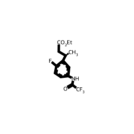 CCOC(=O)C[C@@H](C)c1cc(NC(=O)C(F)(F)F)ccc1F